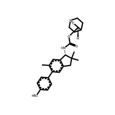 CCCCc1ccc(-c2cc3c(cc2C)[C@H](NC(=O)O[C@@H]2CN4CCC2CC4)C(C)(C)C3)cc1